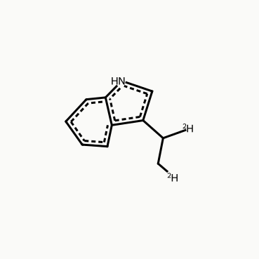 [2H]CC([2H])c1c[nH]c2ccccc12